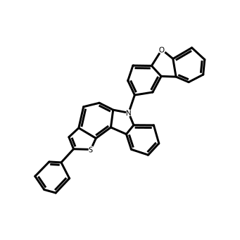 c1ccc(-c2cc3ccc4c(c5ccccc5n4-c4ccc5oc6ccccc6c5c4)c3s2)cc1